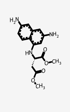 COC(=O)C[C@H](Nc1cc(N)cc2cc(N)ccc12)C(=O)OC